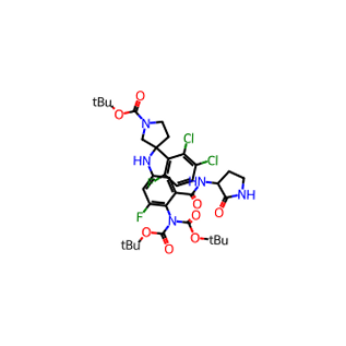 CC(C)(C)OC(=O)N1CCC(Nc2cc(F)c(N(C(=O)OC(C)(C)C)C(=O)OC(C)(C)C)c(C(=O)NC3CCNC3=O)c2)(c2c(F)ccc(Cl)c2Cl)C1